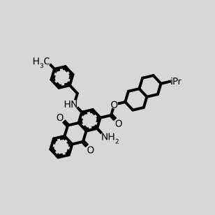 Cc1ccc(CNc2cc(C(=O)OC3CCC4CC(C(C)C)CCC4C3)c(N)c3c2C(=O)c2ccccc2C3=O)cc1